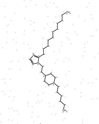 CCCCCCCCCCCc1nccn1CCC1CCN(CCCCCC)CC1